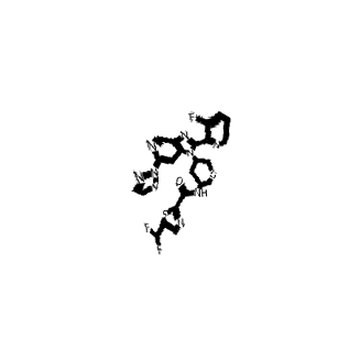 O=C(NC1COCC(n2c(-c3ncccc3F)nc3cnc(-n4nccn4)cc32)C1)c1ncc(C(F)F)s1